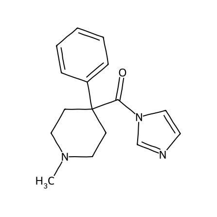 CN1CCC(C(=O)n2ccnc2)(c2ccccc2)CC1